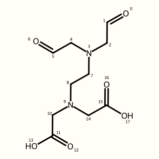 O=CCN(CC=O)CCN(CC(=O)O)CC(=O)O